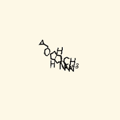 C[C@@]1(N=[N+]=[N-])C[C@H]2C[C@@H](OCC3CC3)C[C@H]2C1